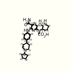 CC1NCCCC1N(C(=O)O)c1cnc(C(N)=O)c(Nc2ccc(C3CCN(C4CCCC4)CC3)cc2)n1